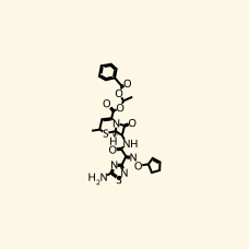 CC(OC(=O)C1=CC(C)S[C@H]2C(NC(=O)C(=NOC3C=CCC3)c3nsc(N)n3)C(=O)N12)OC(=O)c1ccccc1